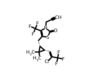 C#CCn1c(C(F)(F)F)c(C[C@@H]2[C@H](C=C(Cl)C(F)(F)F)C2(C)C)sc1=O